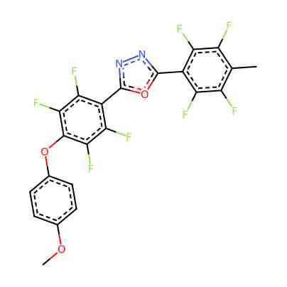 COc1ccc(Oc2c(F)c(F)c(-c3nnc(-c4c(F)c(F)c(C)c(F)c4F)o3)c(F)c2F)cc1